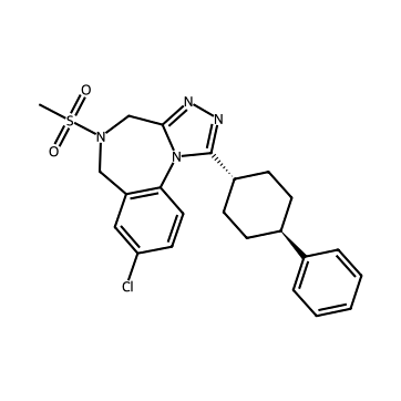 CS(=O)(=O)N1Cc2cc(Cl)ccc2-n2c(nnc2[C@H]2CC[C@H](c3ccccc3)CC2)C1